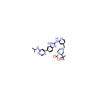 CC(C)N(C)c1cc(-c2ccc3nc(Nc4cc(CN5CCN(C(=O)O)C(C(C)(C)C)C5)ccn4)[nH]c3c2)ncn1